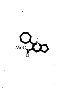 COC(=O)c1cc2c(nc1C1CCCCCC1)CCC2